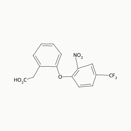 O=C(O)Cc1ccccc1Oc1ccc(C(F)(F)F)cc1[N+](=O)[O-]